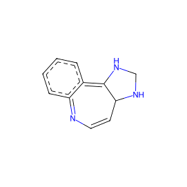 C1=CC2NCNC2=c2ccccc2=N1